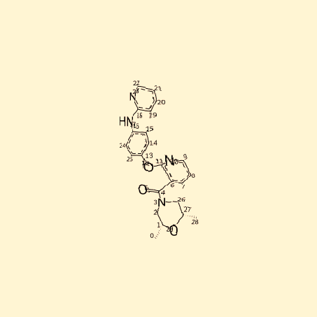 C[C@@H]1CN(C(=O)c2cccnc2Oc2ccc(Nc3ccccn3)cc2)C[C@H](C)O1